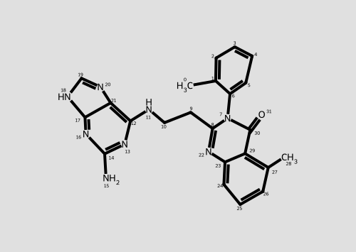 Cc1ccccc1-n1c(CCNc2nc(N)nc3[nH]cnc23)nc2cccc(C)c2c1=O